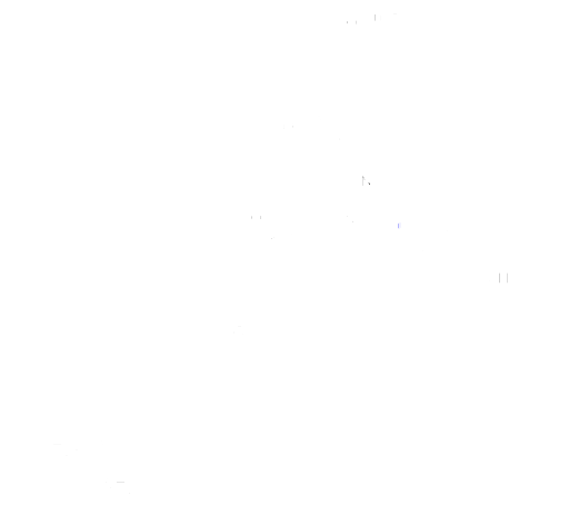 C=CC(=C)OCCCCCCOc1ccc(C(=O)Oc2ccc(OC(=O)c3ccc(OCCC)cc3)c3nc(/C=C/c4ccc(C)cc4)sc23)cc1